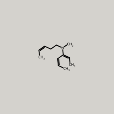 C/C=C\CCN(C)C(/C=C\C)=C/C